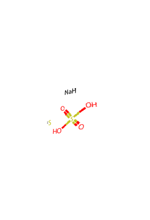 O=S(=O)(O)O.[NaH].[S]